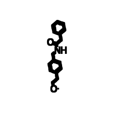 [O]CCc1ccc(CNC(=O)Cc2ccccc2)cc1